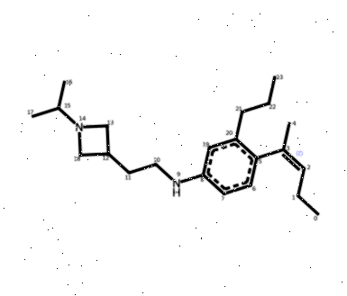 CC/C=C(/C)c1ccc(NCCC2CN(C(C)C)C2)cc1CCC